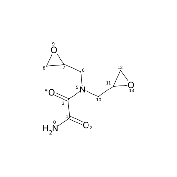 NC(=O)C(=O)N(CC1CO1)CC1CO1